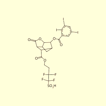 O=C(OC1C2CC3C1OC(=O)C3C2C(=O)OCCC(F)(F)C(F)(F)S(=O)(=O)O)c1cc(I)cc(I)c1I